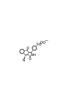 CCOOOSc1ccc(C2=C3C(=O)c4ccccc4C(C#N)=C3C(=O)N2)cc1